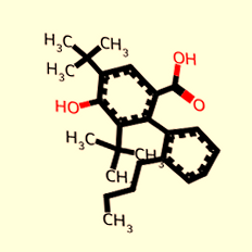 CCCCc1ccccc1-c1c(C(=O)O)cc(C(C)(C)C)c(O)c1C(C)(C)C